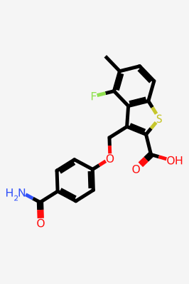 Cc1ccc2sc(C(=O)O)c(COc3ccc(C(N)=O)cc3)c2c1F